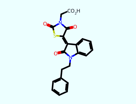 O=C(O)CN1C(=O)S/C(=C2\C(=O)N(CCc3ccccc3)c3ccccc32)C1=O